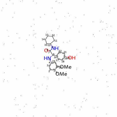 COc1ccc(NC(C(=O)NC2CCCCC2)c2ccc(O)cc2)cc1OC